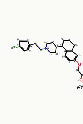 CC(C)(C)[Si](C)(C)OCCOc1ccc2c(c1)CCCC2C1CCN(CCc2ccc(F)cc2)CC1